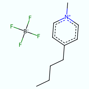 CCCCc1cc[n+](C)cc1.F[B-](F)(F)F